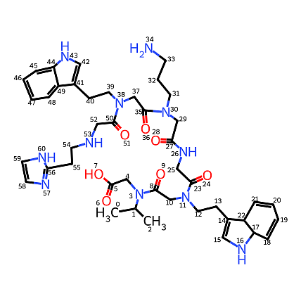 CC(C)N(CC(=O)O)C(=O)CN(CCC1=CNC2C=CC=CC12)C(=O)CNC(=O)CN(CCCN)C(=O)CN(CCc1c[nH]c2ccccc12)C(=O)CNCCc1ncc[nH]1